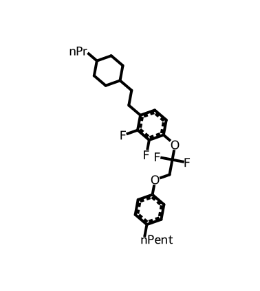 CCCCCc1ccc(OCC(F)(F)Oc2ccc(CCC3CCC(CCC)CC3)c(F)c2F)cc1